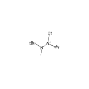 CCC[N+](CC)N(C)C(C)(C)C